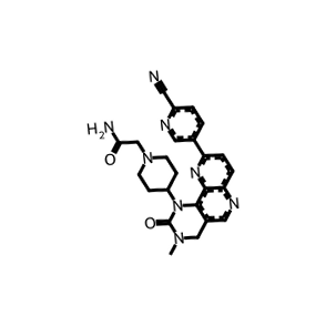 CN1Cc2cnc3ccc(-c4ccc(C#N)nc4)nc3c2N(C2CCN(CC(N)=O)CC2)C1=O